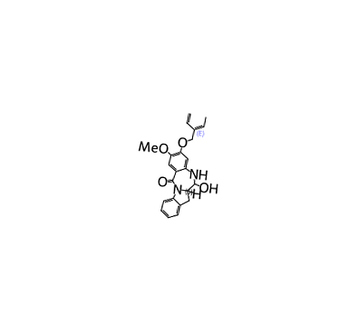 C=C/C(=C\C)COc1cc2c(cc1OC)C(=O)N1c3ccccc3C[C@H]1C(O)N2